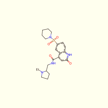 CCN1CCCC1CNC(=O)c1cc(=O)[nH]c2ccc(S(=O)(=O)N3CCCCC3)cc12